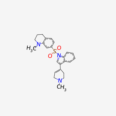 CN1CC=C(c2cn(S(=O)(=O)c3ccc4c(c3)N(C)CCC4)c3ccccc23)CC1